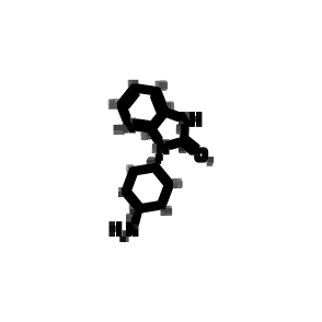 N[C@H]1CC[C@H](n2c(=O)[nH]c3cccnc32)CC1